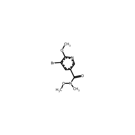 COc1ncc(C(=O)N(C)OC)cc1Br